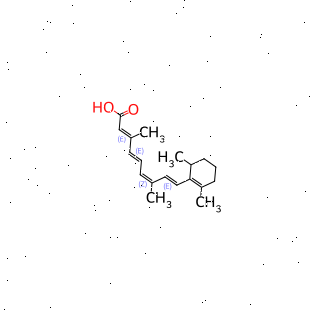 CC1=C(/C=C/C(C)=C\C=C\C(C)=C\C(=O)O)C(C)CCC1